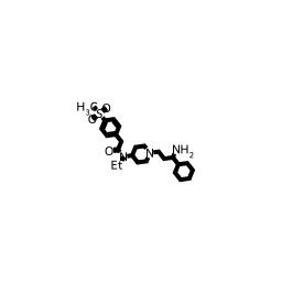 CCN(C(=O)Cc1ccc(S(C)(=O)=O)cc1)C1CCN(CCC(N)C2CCCCC2)CC1